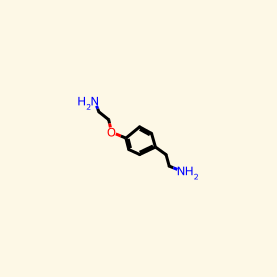 NCCOc1ccc(CCN)cc1